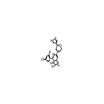 CCn1c(C)nc2cc(N3CCOC(c4cnn(C)c4)C3)nc(-c3ccc(Cl)cc3F)c2c1=O